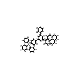 c1ccc(-c2cc(-c3ccc([Si](c4ccccc4)(c4ccccc4)c4ccccc4)cc3)cc(-c3ccc4ccc5cccc6ccc3c4c56)c2)cc1